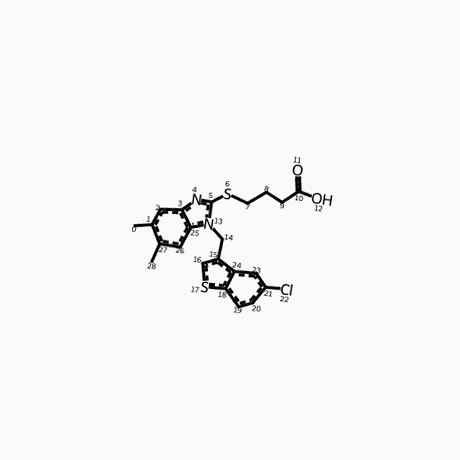 Cc1cc2nc(SCCCC(=O)O)n(Cc3csc4ccc(Cl)cc34)c2cc1C